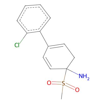 CS(=O)(=O)C1(N)C=CC(c2ccccc2Cl)=CC1